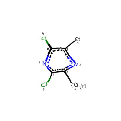 CCc1nc(C(=O)O)c(Cl)nc1Cl